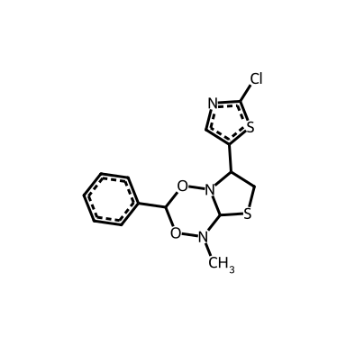 CN1OC(c2ccccc2)ON2C(c3cnc(Cl)s3)CSC12